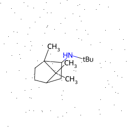 CC(C)(C)NC1CC2CCC1(C)C2(C)C